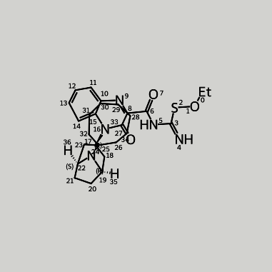 CCOSC(=N)NC(=O)c1nc2ccccc2n([C@H]2C[C@H]3CC[C@@H](C2)N3C2CCCCCCC2)c1=O